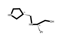 CC(C)[C@@H](CO)NC[C@H]1CCNC1